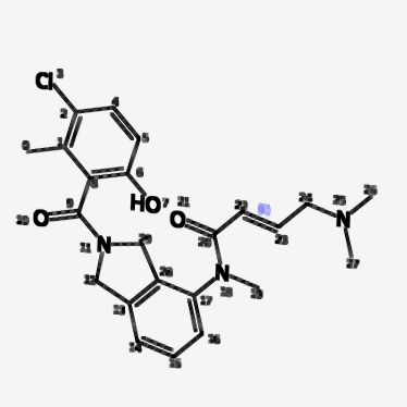 Cc1c(Cl)ccc(O)c1C(=O)N1Cc2cccc(N(C)C(=O)/C=C/CN(C)C)c2C1